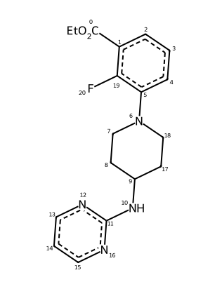 CCOC(=O)c1cccc(N2CCC(Nc3ncccn3)CC2)c1F